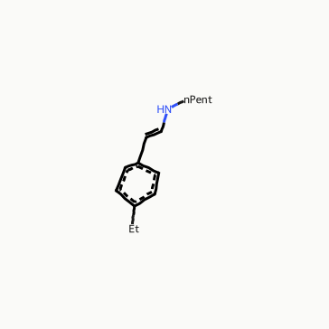 CCCCCNC=Cc1ccc(CC)cc1